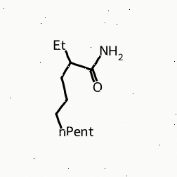 CCCCCCCCC(CC)C(N)=O